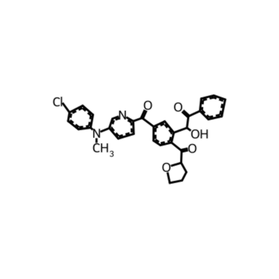 CN(c1ccc(Cl)cc1)c1ccc(C(=O)c2ccc(C(=O)C3CCCO3)c(C(O)C(=O)c3ccccc3)c2)nc1